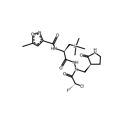 Cc1cc(C(=O)N[C@@H](C[Si](C)(C)C)C(=O)NN(C[C@@H]2CCNC2=O)C(=O)[C@@H](F)Cl)no1